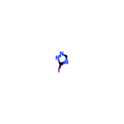 IC1=NCN=N1